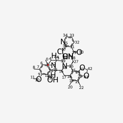 CCN1[C@@H]2Cc3cc(C)c(OC)c(O)c3[C@H]1C1Cc3c(C)c(C)c4c(c3[C@H](CNC(=O)c3cccnc3Cl)N1[C@H]2O)OCO4